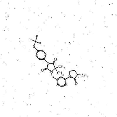 CC1CCN(c2cc(CN3C(=O)N(c4ccc(SC(F)(F)F)cc4)C(=O)C3(C)C)ccn2)C1=O